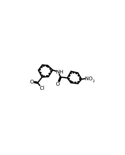 O=C(Cl)c1cccc(NC(=O)c2ccc([N+](=O)[O-])cc2)c1